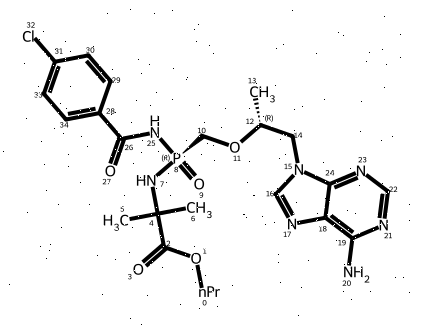 CCCOC(=O)C(C)(C)N[P@](=O)(CO[C@H](C)Cn1cnc2c(N)ncnc21)NC(=O)c1ccc(Cl)cc1